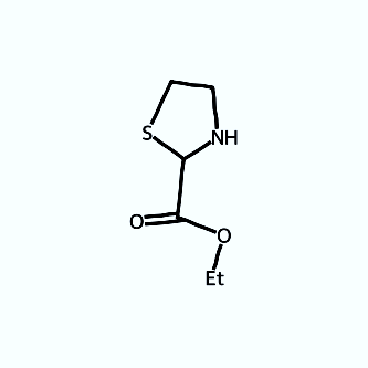 CCOC(=O)C1NCCS1